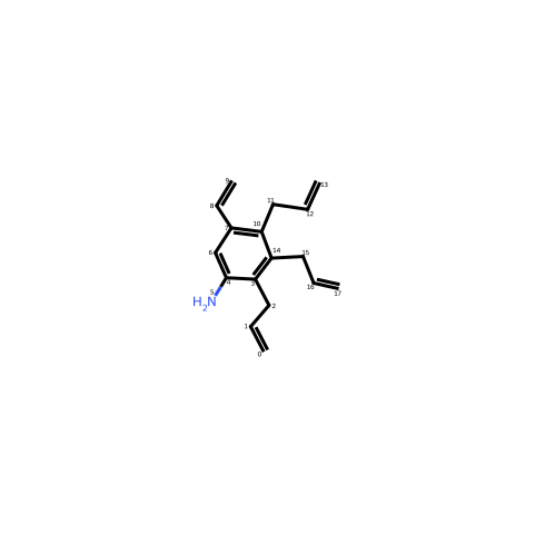 C=CCc1c(N)cc(C=C)c(CC=C)c1CC=C